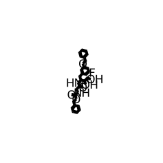 O=C(CNC(=O)OCc1ccccc1)NC(Cc1cc(F)cc(OCc2ccccc2)c1)C(O)CO